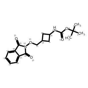 CC(C)(C)OC(=O)NC1CC(CON2C(=O)c3ccccc3C2=O)C1